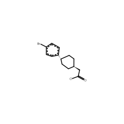 O=C(Cl)C[C@H]1CC[C@H](c2ccc(Br)cc2)CC1